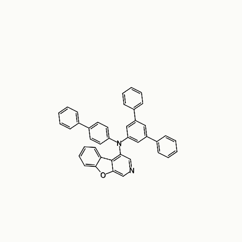 c1ccc(-c2ccc(N(c3cc(-c4ccccc4)cc(-c4ccccc4)c3)c3cncc4oc5ccccc5c34)cc2)cc1